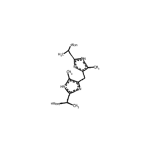 CCCCCCCCCC(C)c1nc(Cc2nc(C(C)CCCCCCCCC)[nH]c2C)c(C)[nH]1